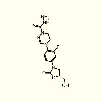 NNC(=S)N1CCN(c2ccc(N3C[C@H](CO)OC3=O)cc2F)C=N1